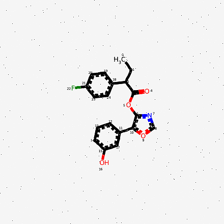 CCC(C(=O)Oc1ncoc1-c1cccc(O)c1)c1ccc(F)cc1